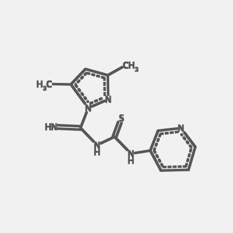 Cc1cc(C)n(C(=N)NC(=S)Nc2cccnc2)n1